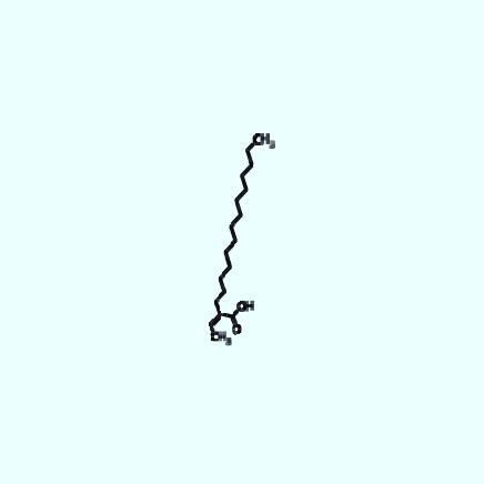 CC=C(CCCCCCCCCCCCCC)C(=O)O